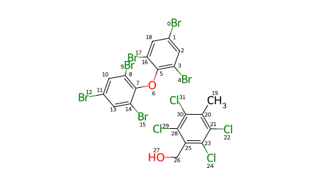 Brc1cc(Br)c(Oc2c(Br)cc(Br)cc2Br)c(Br)c1.Cc1c(Cl)c(Cl)c(CO)c(Cl)c1Cl